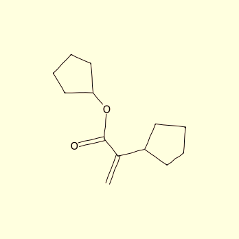 C=C(C(=O)OC1CCCC1)C1CCCC1